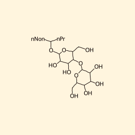 CCCCCCCCCC(CCC)OC1OC(CO)C(OC2OC(CO)C(O)C(O)C2O)C(O)C1O